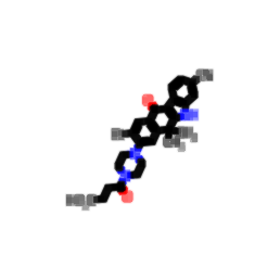 CCc1cc2c(cc1N1CCN(C(=O)CCC(=O)O)CC1)C(C)(C)c1[nH]c3cc(C#N)ccc3c1C2=O